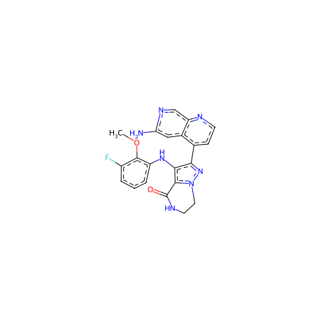 COc1c(F)cccc1Nc1c(-c2ccnc3cnc(N)cc23)nn2c1C(=O)NCC2